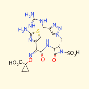 N=C(N)NCc1cn(C[C@H]2C(NC(=O)/C(=N\OC3(C(=O)O)CC3)c3csc(N)n3)C(=O)N2S(=O)(=O)O)nn1